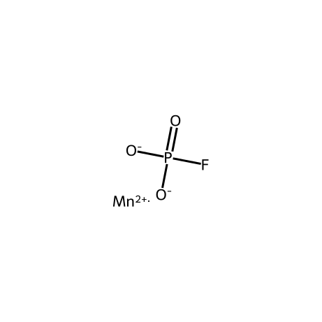 O=P([O-])([O-])F.[Mn+2]